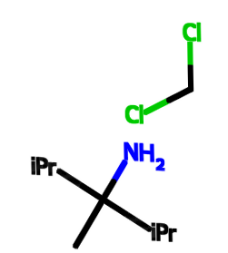 CC(C)C(C)(N)C(C)C.ClCCl